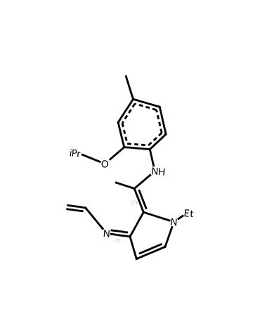 C=C/N=C1/C=CN(CC)/C1=C(/C)Nc1ccc(C)cc1OC(C)C